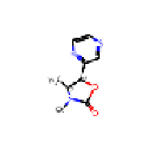 CCN1C(=O)O[C@H](c2cnccn2)[C@@H]1C